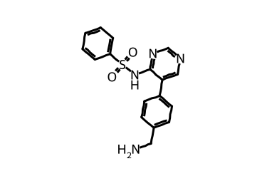 NCc1ccc(-c2cncnc2NS(=O)(=O)c2ccccc2)cc1